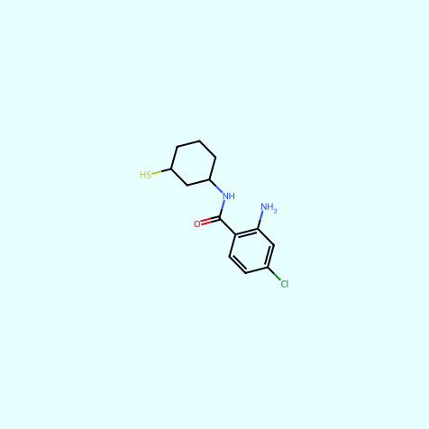 Nc1cc(Cl)ccc1C(=O)NC1CCCC(S)C1